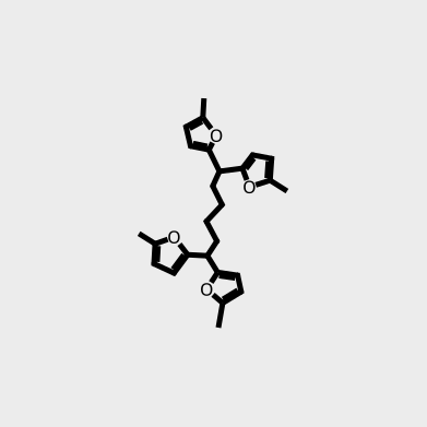 Cc1ccc(C(CCCCC(c2ccc(C)o2)c2ccc(C)o2)c2ccc(C)o2)o1